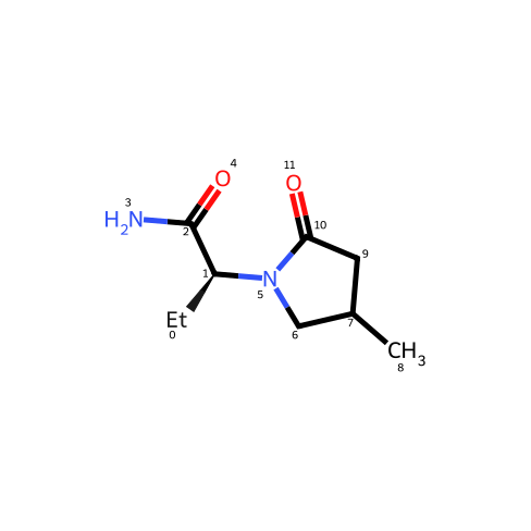 CC[C@@H](C(N)=O)N1CC(C)CC1=O